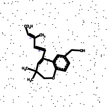 CC(/C=C/C1=CC(C)(C)COc2ccc(CO)cc21)=C\C(=O)O